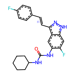 O=C(Nc1cc2c(/C=C/c3ccc(F)cc3)n[nH]c2cc1F)NC1CCCCC1